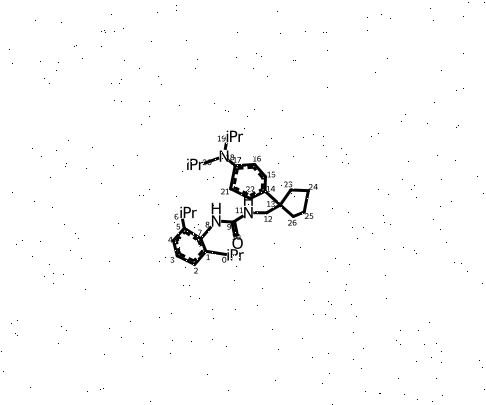 CC(C)c1cccc(C(C)C)c1NC(=O)NCC1(c2ccc(N(C(C)C)C(C)C)cc2)CCCC1